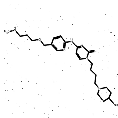 CNCCCOCc1ccc(Nc2ccn(CCCCN3CCC(N)CC3)c(=O)n2)nc1